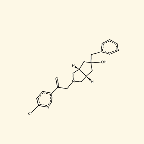 O=C(CN1C[C@@H]2CC(O)(Cc3ccccc3)C[C@@H]2C1)c1ccc(Cl)nc1